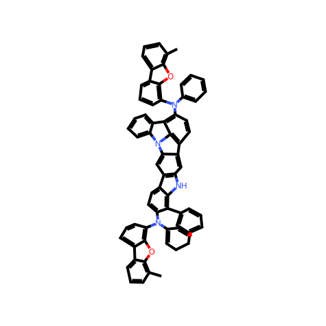 Cc1cccc2c1oc1c(N(C3=CCCC=C3)c3ccc4c([nH]c5cc6c7ccc(N(c8ccccc8)c8cccc9c8oc8c(C)cccc89)c8c9ccccc9n(c6cc54)c78)c3-c3ccccc3)cccc12